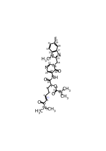 CN(C)C(=O)/C=C/CCC(OC(=O)N(C)C)C(=O)Nc1cncn(Cc2nc3cc(F)ccc3n2C)c1=O